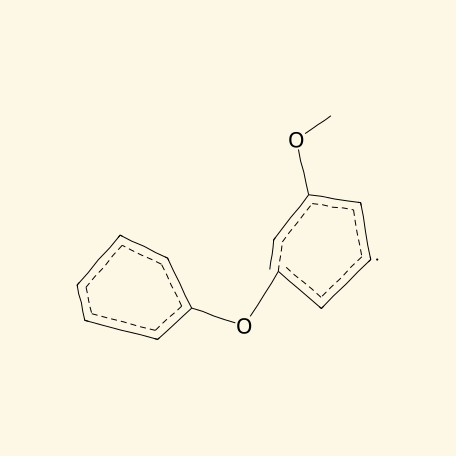 COc1c[c]cc(Oc2ccccc2)c1